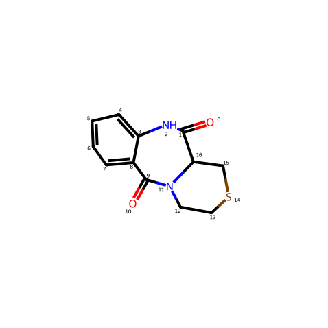 O=C1Nc2ccccc2C(=O)N2CCSCC12